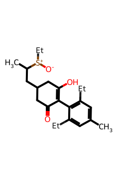 CCc1cc(C)cc(CC)c1C1=C(O)CC(CC(C)[S+]([O-])CC)CC1=O